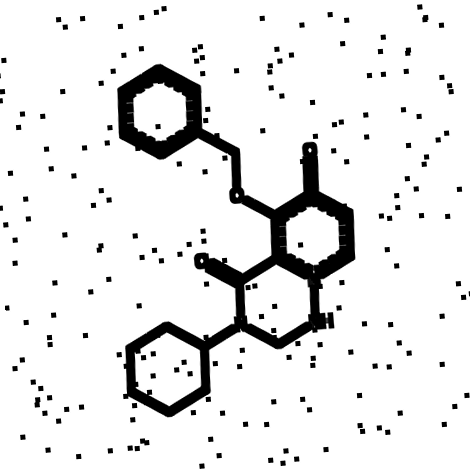 O=C1c2c(OCc3ccccc3)c(=O)ccn2NCN1C1CCCCC1